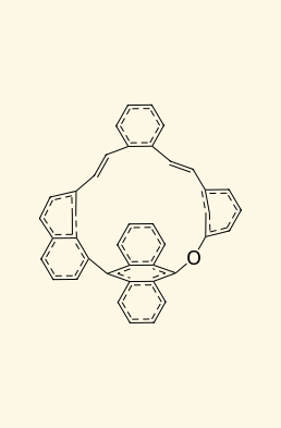 C1=C/c2ccccc2/C=C/c2ccc3cccc(c3c2)-c2c3ccccc3c(c3ccccc23)Oc2cccc/1c2